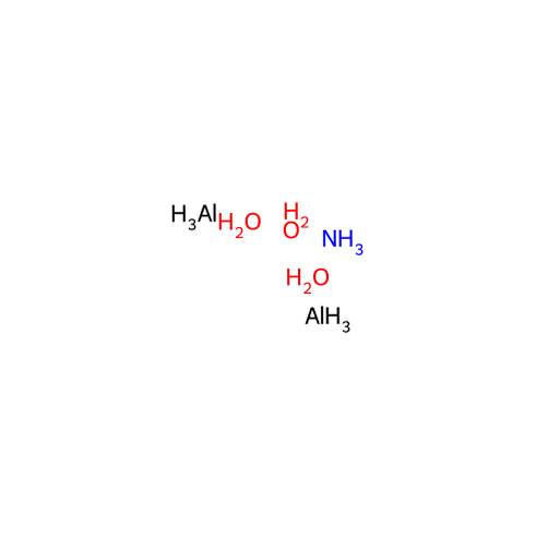 N.O.O.O.[AlH3].[AlH3]